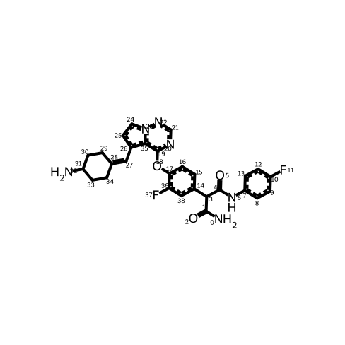 NC(=O)C(C(=O)Nc1ccc(F)cc1)c1ccc(Oc2ncnn3ccc(C=C4CCC(N)CC4)c23)c(F)c1